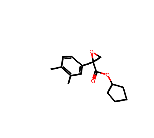 Cc1ccc(C2(C(=O)OC3CCCC3)CO2)cc1C